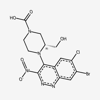 O=C(O)N1CCN(c2c([N+](=O)[O-])nnc3cc(Br)c(Cl)cc23)[C@@H](CO)C1